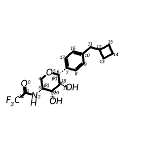 O=C(N[C@@H]1CO[C@H](c2ccc(CC3CCC3)cc2)[C@H](O)[C@@H]1O)C(F)(F)F